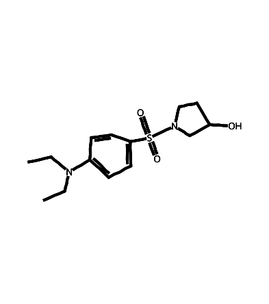 CCN(CC)c1ccc(S(=O)(=O)N2CCC(O)C2)cc1